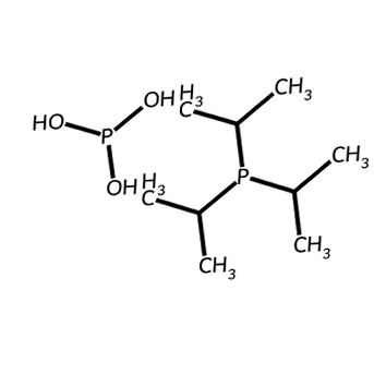 CC(C)P(C(C)C)C(C)C.OP(O)O